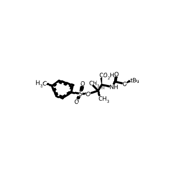 Cc1ccc(S(=O)(=O)OC(C)(C)[C@H](NC(=O)OC(C)(C)C)C(=O)O)cc1